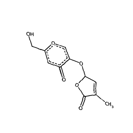 CC1=CC(Oc2coc(CO)cc2=O)OC1=O